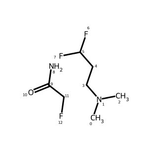 CN(C)CCC(F)F.NC(=O)CF